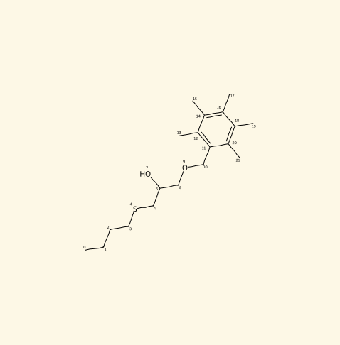 CCCCSCC(O)COCc1c(C)c(C)c(C)c(C)c1C